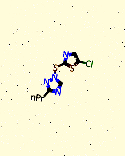 CCCc1ncn(Sc2ncc(Cl)s2)n1